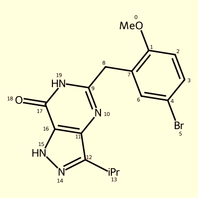 COc1ccc(Br)cc1Cc1nc2c(C(C)C)n[nH]c2c(=O)[nH]1